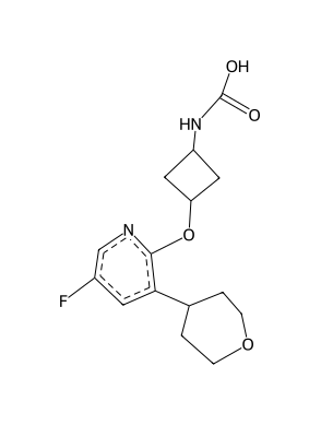 O=C(O)NC1CC(Oc2ncc(F)cc2C2CCOCC2)C1